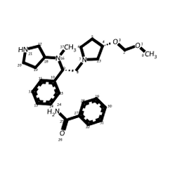 COCO[C@H]1CCN(C[C@H](c2ccccc2)N(C)C2CCNC2)C1.NC(=O)c1ccccc1